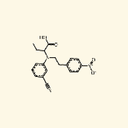 CCC(C(=O)O)N(CCc1ccc([N+](=O)[O-])cc1)c1cccc(C#N)c1